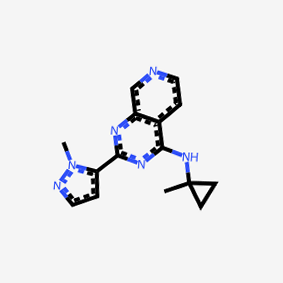 Cn1nccc1-c1nc(NC2(C)CC2)c2ccncc2n1